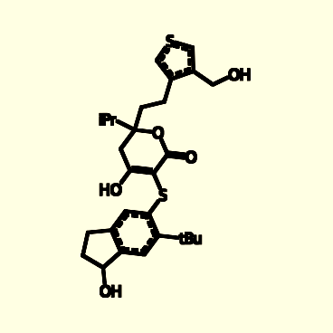 CC(C)C1(CCc2cscc2CO)CC(O)=C(Sc2cc3c(cc2C(C)(C)C)C(O)CC3)C(=O)O1